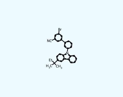 CCC(C)(C)c1ccc2c(c1)c1ccccc1n2-c1cccc(-c2cc(Br)cc(C#N)c2)c1